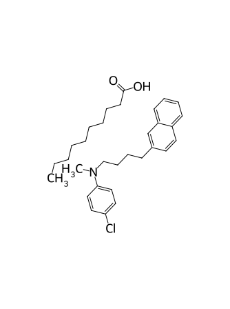 CCCCCCCCCC(=O)O.CN(CCCCc1ccc2ccccc2c1)c1ccc(Cl)cc1